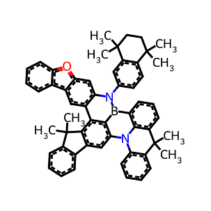 CC1(C)CCC(C)(C)c2cc(N3B4c5cccc6c5N(c5ccccc5C6(C)C)c5cc6c(c(c54)-c4cc5c(cc43)oc3ccccc35)C(C)(C)c3ccccc3-6)ccc21